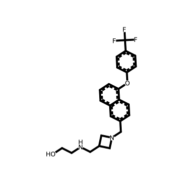 OCCNCC1CN(Cc2ccc3c(Oc4ccc(C(F)(F)F)cc4)cccc3c2)C1